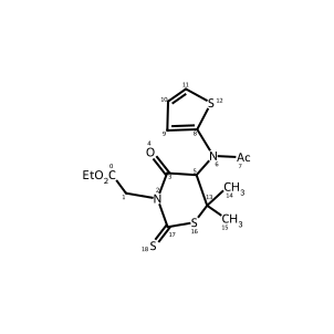 CCOC(=O)CN1C(=O)C(N(C(C)=O)c2cccs2)C(C)(C)SC1=S